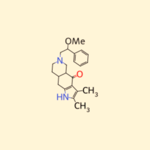 COC(CN1CCC2Cc3[nH]c(C)c(C)c3C(=O)C2C1)c1ccccc1